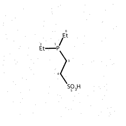 CCP(CC)CCS(=O)(=O)O